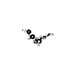 N#CCCOCCNC(=O)C1=Cc2c(ncnc2Nc2ccc(Oc3cccc(C(F)(F)F)c3)c(Cl)c2)NCC1